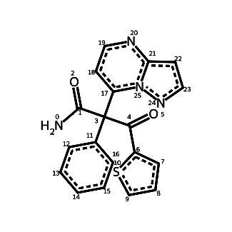 NC(=O)C(C(=O)c1cccs1)(c1ccccc1)c1ccnc2ccnn12